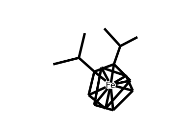 CC(C)[C]12[CH]3[CH]4[CH]5[C]1(C(C)C)[Fe]43521678[CH]2[CH]1[CH]6[CH]7[CH]28